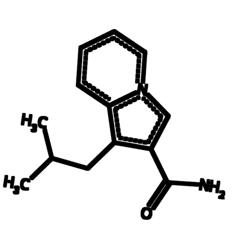 CC(C)Cc1c(C(N)=O)cn2ccccc12